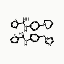 N=C(Nc1ccc(Cn2ccnc2)cc1)c1cccs1.N=C(Nc1ccc(N2CC=CCC2)cc1)c1cccs1